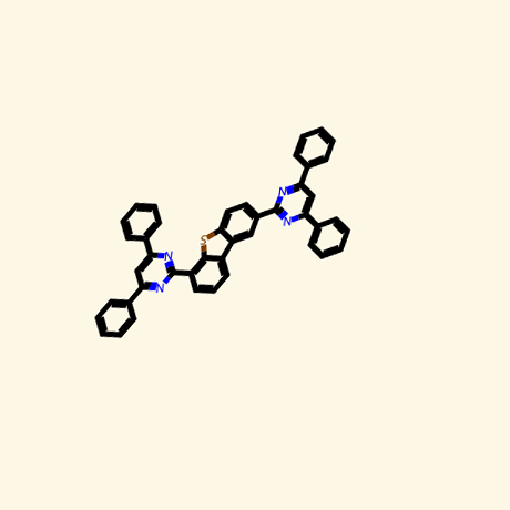 c1ccc(-c2cc(-c3ccccc3)nc(-c3ccc4sc5c(-c6nc(-c7ccccc7)cc(-c7ccccc7)n6)cccc5c4c3)n2)cc1